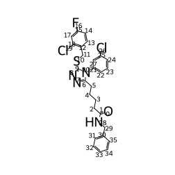 O=C(CCCCc1nnc(SCc2ccc(F)cc2Cl)n1-c1cccc(Cl)c1)NCc1ccccc1